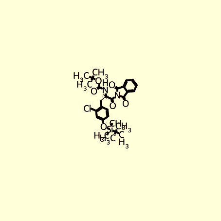 CC(C)(C)OC(=O)N[C@@H](Cc1ccc(O[Si](C)(C)C(C)(C)C)cc1Cl)C(=O)N1C(=O)c2ccccc2C1=O